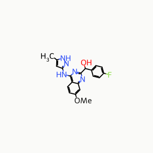 COc1ccc2c(Nc3cc(C)[nH]n3)nc(C(O)c3ccc(F)cc3)nc2c1